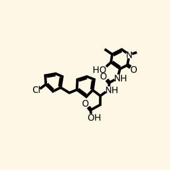 Cc1cn(C)c(=O)c(NC(=O)NC(CC(=O)O)c2cccc(Cc3cccc(Cl)c3)c2)c1O